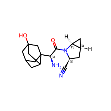 N#C[C@@H]1C[C@@H]2C[C@@H]2N1C(=O)[C@@H](N)C12CC3CC1CC(O)(C3)C2